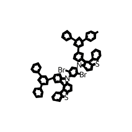 Cc1ccc(-c2cc(-c3ccccc3)cc(-c3ccc4c(c3)c3c5c(ccc3n4-c3cc(Br)c(-n4c6ccc(-c7cc(-c8ccccc8)cc(-c8ccccc8)c7)cc6c6c7c(ccc64)sc4ccccc47)cc3Br)sc3ccccc35)c2)cc1